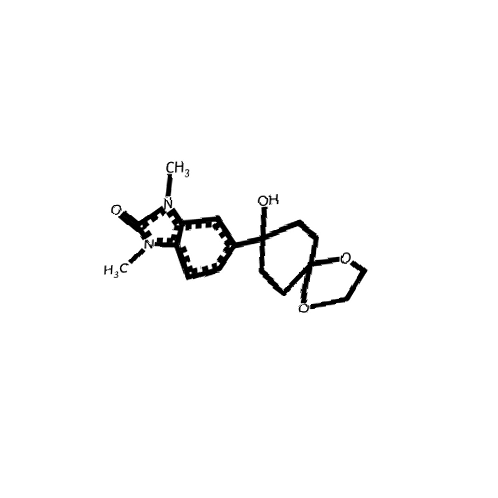 Cn1c(=O)n(C)c2cc(C3(O)CCC4(CC3)OCCO4)ccc21